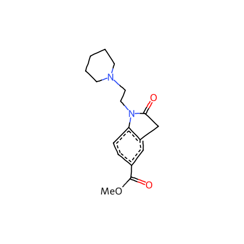 COC(=O)c1ccc2c(c1)CC(=O)N2CCN1CCCCC1